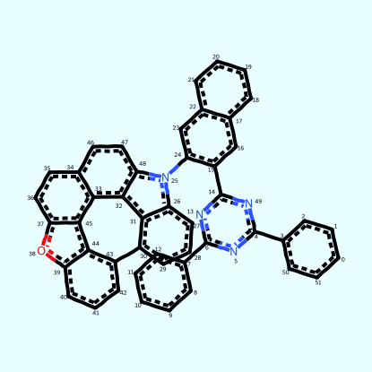 c1ccc(-c2nc(-c3ccccc3)nc(-c3cc4ccccc4cc3-n3c4cccc5c4c4c6c(ccc7oc8cccc-5c8c76)ccc43)n2)cc1